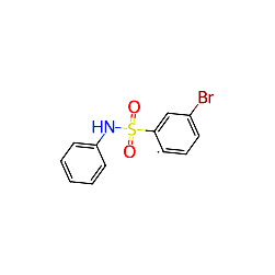 O=S(=O)(Nc1ccccc1)c1[c]ccc(Br)c1